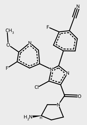 COc1ncc(-n2c(-c3ccc(C#N)c(F)c3)nc(C(=O)N3CC[C@@H](N)C3)c2Cl)cc1F